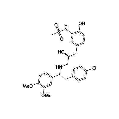 COc1ccc([C@@H](Cc2ccc(Cl)cc2)NC[C@@H](O)Cc2ccc(O)c(NS(C)(=O)=O)c2)cc1OC